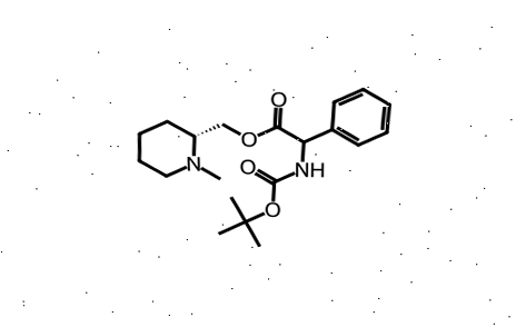 CN1CCCC[C@@H]1COC(=O)C(NC(=O)OC(C)(C)C)c1ccccc1